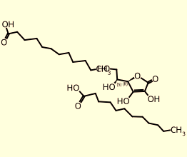 CCCCCCCCCCCC(=O)O.CCCCCCCCCCCC(=O)O.O=C1O[C@H]([C@@H](O)CO)C(O)=C1O